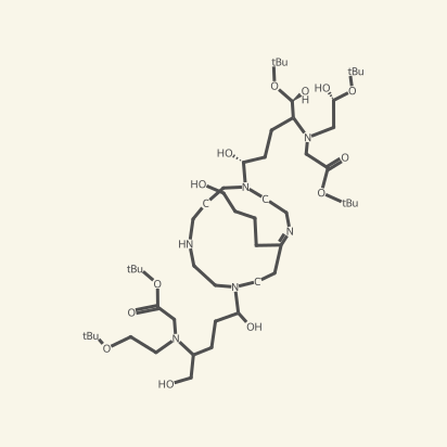 CC(C)(C)OCCN(CC(=O)OC(C)(C)C)C(CO)CCC(O)N1CCNCCCN([C@H](O)CCC([C@H](O)OC(C)(C)C)N(CC(=O)OC(C)(C)C)C[C@H](O)OC(C)(C)C)CC/N=C(\CCCCO)CC1